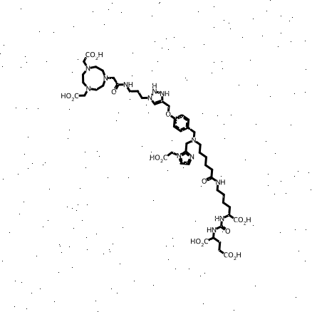 O=C(O)CCC(NC(=O)NC(CCCCNC(=O)CCCCCN(Cc1ccc(OCC2=CN(CCCNC(=O)CN3CCN(CC(=O)O)CCN(CC(=O)O)CC3)NN2)cc1)Cc1nccn1CC(=O)O)C(=O)O)C(=O)O